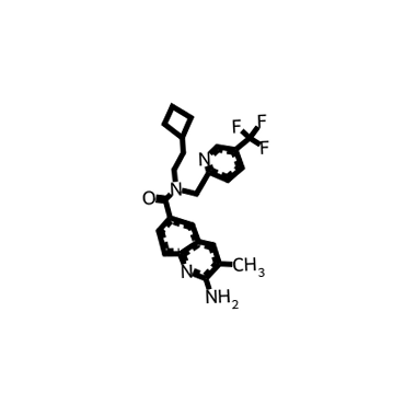 Cc1cc2cc(C(=O)N(CCC3CCC3)Cc3ccc(C(F)(F)F)cn3)ccc2nc1N